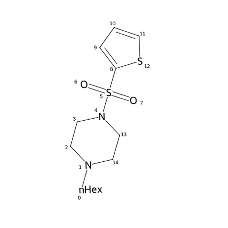 CCCCCCN1CCN(S(=O)(=O)c2cccs2)CC1